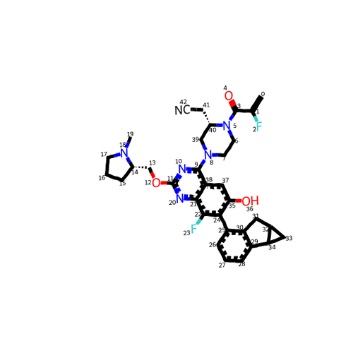 C=C(F)C(=O)N1CCN(c2nc(OC[C@@H]3CCCN3C)nc3c(F)c(-c4cccc5c4CC4CC54)c(O)cc23)C[C@@H]1CC#N